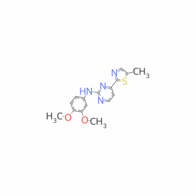 COc1ccc(Nc2nccc(-c3ncc(C)s3)n2)cc1OC